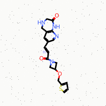 O=C1CNCc2cc(/C=C/C(=O)N3CC(OCc4cccs4)C3)cnc2N1